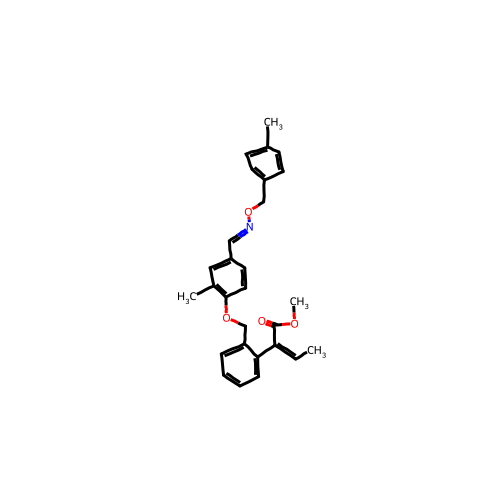 CC=C(C(=O)OC)c1ccccc1COc1ccc(C=NOCc2ccc(C)cc2)cc1C